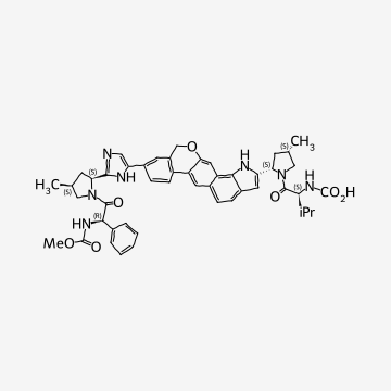 COC(=O)N[C@@H](C(=O)N1C[C@@H](C)C[C@H]1c1ncc(-c2ccc3c(c2)COc2cc4c(ccc5cc([C@@H]6C[C@H](C)CN6C(=O)[C@@H](NC(=O)O)C(C)C)[nH]c54)cc2-3)[nH]1)c1ccccc1